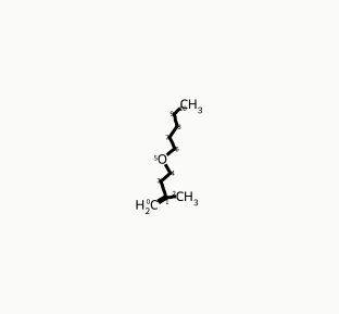 C=C(C)CCOCCCCC